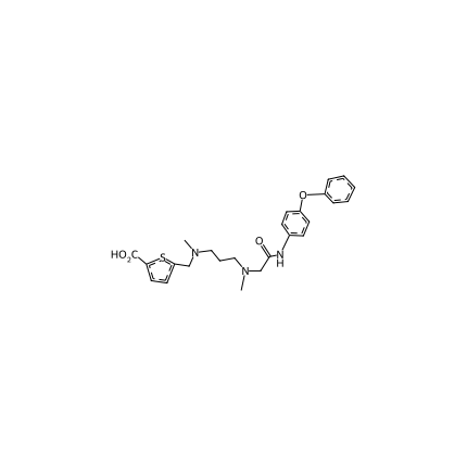 CN(CCCN(C)Cc1ccc(C(=O)O)s1)CC(=O)Nc1ccc(Oc2ccccc2)cc1